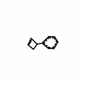 C1=CC(c2ccccc2)C1